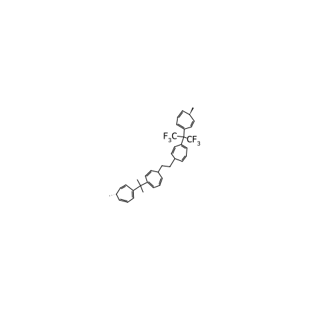 C[C@@H]1C=CC=C(C(C2=CC=CC(CCC3C=CC=C(C(C)(C)C4=CC=C[C@H](C)C=C4)C=C3)C=C2)(C(F)(F)F)C(F)(F)F)C=C1